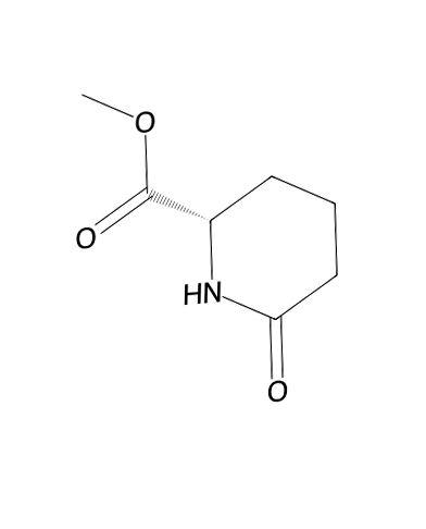 COC(=O)[C@@H]1CCCC(=O)N1